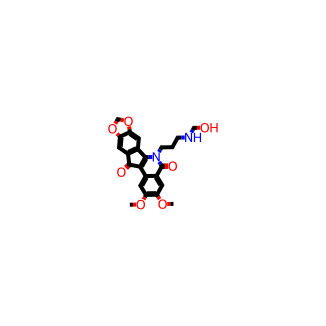 COc1cc2c3c(n(CCCNCO)c(=O)c2cc1OC)-c1cc2c(cc1C3=O)OCO2